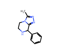 Cc1nnc2n1CCNC2c1ccccc1